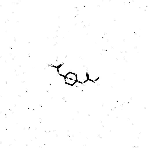 COC(=O)OC12CCC(OC(=O)O)(CC1)CC2